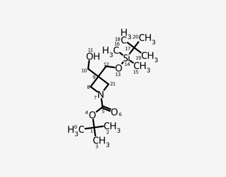 CC(C)(C)OC(=O)N1CC(CO)(CO[Si](C)(C)C(C)(C)C)C1